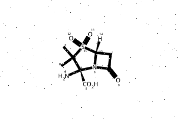 CC1(C)[C@](N)(C(=O)O)N2C(=O)C[C@H]2S1(=O)=O